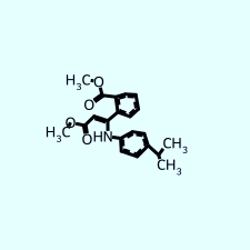 COC(=O)C=C(Nc1ccc(C(C)C)cc1)c1ccccc1C(=O)OC